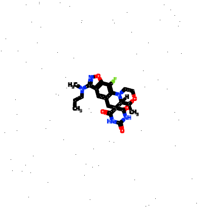 CCCN(C)c1noc2c(F)c3c(cc12)CC1(C(=O)NC(=O)NC1=O)[C@H]1[C@H](C)OCCN31